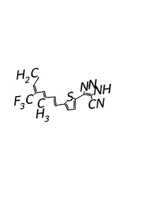 C=C\C=C(/C=C(C)/C=C/c1ccc(-c2nn[nH]c2C#N)s1)C(F)(F)F